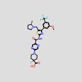 COc1cc(-c2nc(NC(=O)c3cnc(N4CCC(F)(C(=O)O)CC4)cn3)sc2CN2CCC[C@H]2C)cc(C(F)(F)F)c1